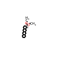 CCO[SiH](OCC)c1ccc2cc3cc4ccccc4cc3cc2c1